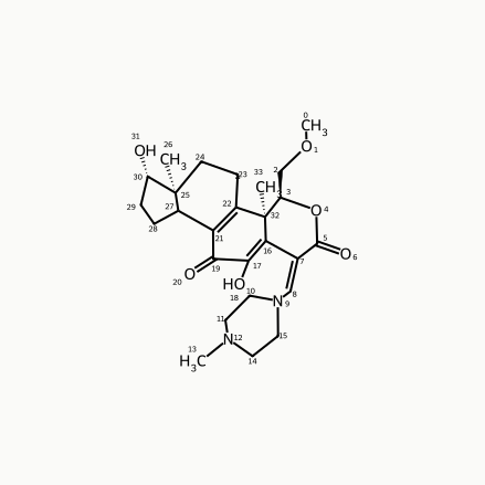 COC[C@H]1OC(=O)/C(=C/N2CCN(C)CC2)C2=C(O)C(=O)C3=C([C]C[C@@]4(C)C3CC[C@@H]4O)[C@]21C